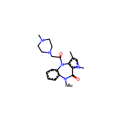 CCCCN1C(=O)c2c(c(C)cn2C)N(C(=O)CN2CCN(C)CC2)c2ccccc21